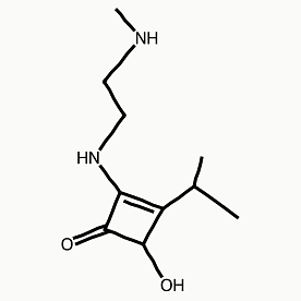 CNCCNC1=C(C(C)C)C(O)C1=O